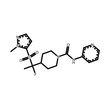 Cn1nccc1S(=O)(=O)C(C)(F)C1CCN(C(=O)Nc2cccnc2)CC1